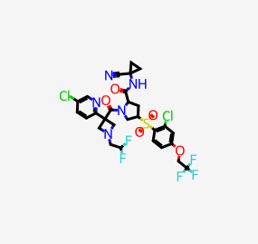 N#CC1(NC(=O)C2CC(S(=O)(=O)c3ccc(OCC(F)(F)F)cc3Cl)CN2C(=O)C2(c3ccc(Cl)cn3)CN(CC(F)F)C2)CC1